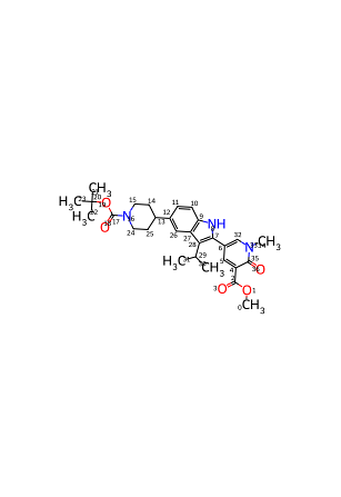 COC(=O)c1cc(-c2[nH]c3ccc(C4CCN(C(=O)OC(C)(C)C)CC4)cc3c2C(C)C)cn(C)c1=O